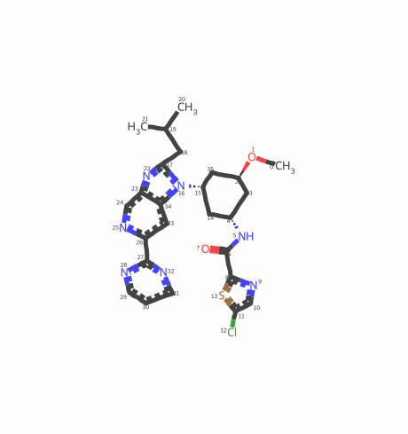 CO[C@H]1C[C@H](NC(=O)c2ncc(Cl)s2)C[C@H](n2c(CC(C)C)nc3cnc(-c4ncccn4)cc32)C1